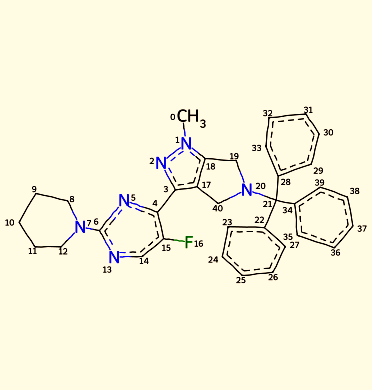 Cn1nc(-c2nc(N3CCCCC3)ncc2F)c2c1CN(C(c1ccccc1)(c1ccccc1)c1ccccc1)C2